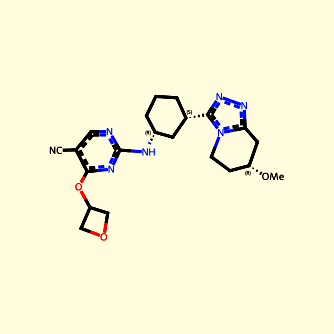 CO[C@@H]1CCn2c(nnc2[C@H]2CCC[C@@H](Nc3ncc(C#N)c(OC4COC4)n3)C2)C1